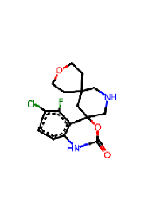 O=C1Nc2ccc(Cl)c(F)c2C2(CNCC3(CCOCC3)C2)O1